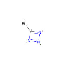 CCC1=NN=N1